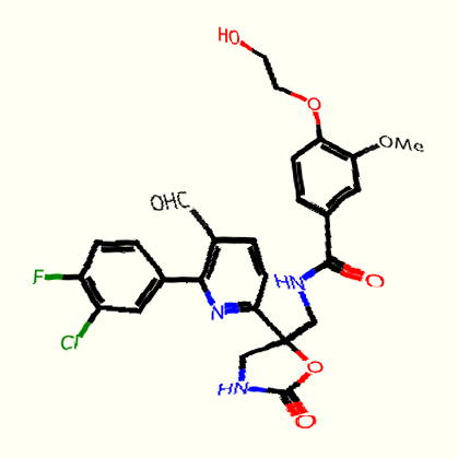 COc1cc(C(=O)NCC2(c3ccc(C=O)c(-c4ccc(F)c(Cl)c4)n3)CNC(=O)O2)ccc1OCCO